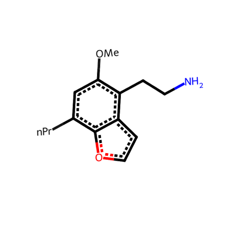 CCCc1cc(OC)c(CCN)c2ccoc12